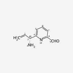 C=C[C@@H](N)c1cccc(C=O)n1